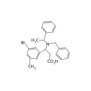 Cc1cc(Br)cc(C(CC(=O)O)N(Cc2ccccc2)C(C)c2ccccc2)c1